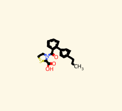 CCCc1ccc(-c2ccccc2C(=O)N2CCSC2C(=O)O)cc1